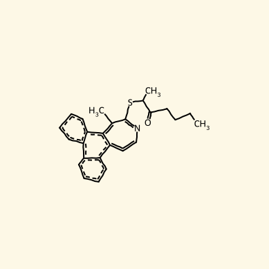 CCCCC(=O)C(C)SC1=NC=C=c2c(c3ccccc3c3ccccc23)=C1C